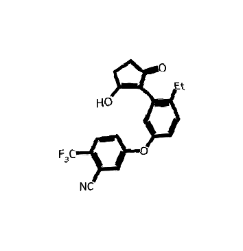 CCc1ccc(Oc2ccc(C(F)(F)F)c(C#N)c2)cc1C1=C(O)CCC1=O